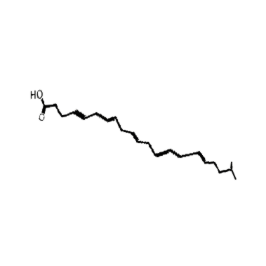 CC(C)CCC=CCC=CCC=CCC=CCC=CCCC(=O)O